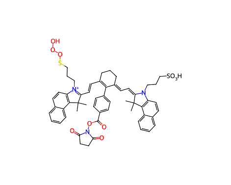 CC1(C)C(/C=C/C2=C(c3ccc(C(=O)ON4C(=O)CCC4=O)cc3)C(=C/C=C3/N(CCCS(=O)(=O)O)c4ccc5ccccc5c4C3(C)C)/CCC2)=[N+](CCCSOOO)c2ccc3ccccc3c21